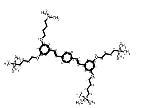 CN(C)CCCCOc1cc(/C=C/c2ccc(/C=C/c3cc(OCCCC[N+](C)(C)C)cc(OCCCC[N+](C)(C)C)c3)cc2)cc(OCCCC[N+](C)(C)C)c1